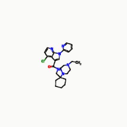 CCN1CCN(C2(CNC(=O)c3cn(-c4ccccn4)c4nccc(Cl)c34)CCCCC2)CC1